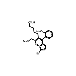 CCc1ccc2c(-c3ccccc3OC)c(CCCCC(=O)O)c(COC)nn12